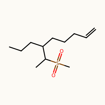 C=CCCCC(CCC)C(C)S(C)(=O)=O